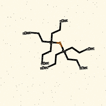 CCCCCCCCCCC[CH2][Sn]([CH2]CCCCCCCCCCC)([CH2]CCCCCCCCCCC)[S][Sn]([CH2]CCCCCCCCCCC)([CH2]CCCCCCCCCCC)[CH2]CCCCCCCCCCC